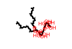 CC(C)CCC[C@H](C)CCC[C@H](C)CCC[C@H](C)CCOC[C@H](COC1OC(CCOCC2OC(CO)C(O)C(O)C2O)C(O)C(O)C1O)OCC[C@@H](C)CCC[C@@H](C)CCC[C@@H](C)CCCC(C)C